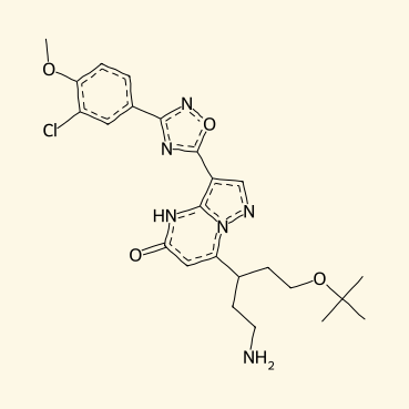 COc1ccc(-c2noc(-c3cnn4c(C(CCN)CCOC(C)(C)C)cc(=O)[nH]c34)n2)cc1Cl